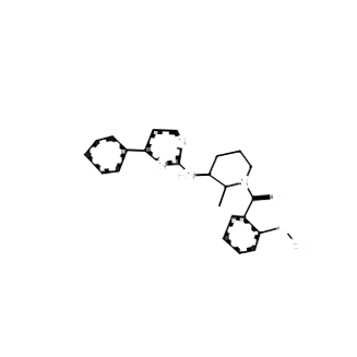 CCOc1ccccc1C(=O)N1CCCC(Nc2nccc(-c3ccccc3)n2)C1C